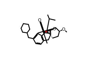 CO[C@H]1CC[C@]2(CC1)Cc1ccc(CC3CCCCC3)cc1C21NC(=O)N(C(C)C)C1=O